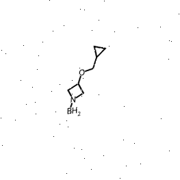 BN1CC(OCC2CC2)C1